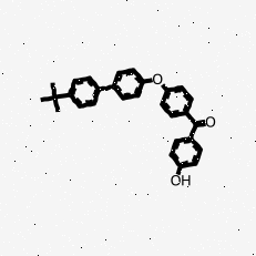 CC(C)(C)c1ccc(-c2ccc(Oc3ccc(C(=O)c4ccc(O)cc4)cc3)cc2)cc1